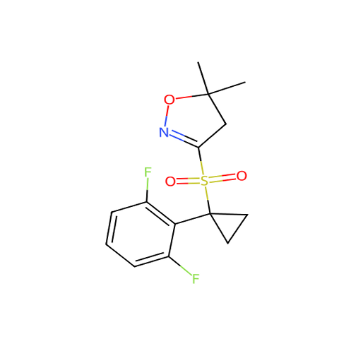 CC1(C)CC(S(=O)(=O)C2(c3c(F)cccc3F)CC2)=NO1